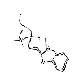 CN1C(=CC(I)(CCI)[N+](C)(C)C)Oc2ccccc21